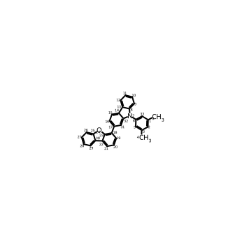 Cc1cc(C)cc(-n2c3ccccc3c3ccc(-c4cccc5c4oc4ccccc45)cc32)c1